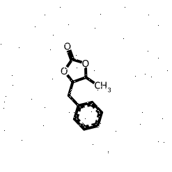 CC1OC(=O)OC1Cc1ccccc1